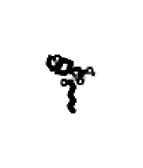 CCCCCC(=O)NC1(CC(=O)OC)CCC2(CCCO2)CC1